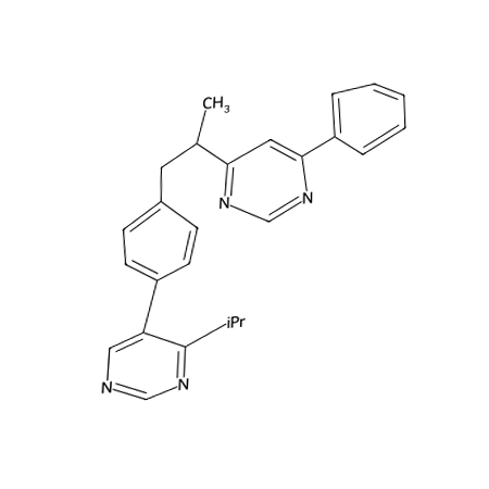 CC(C)c1ncncc1-c1ccc(CC(C)c2cc(-c3ccccc3)ncn2)cc1